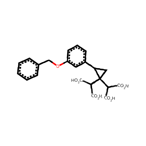 O=C(O)C(C(=O)O)C1(C(C(=O)O)C(=O)O)CC1c1cccc(OCc2ccccc2)c1